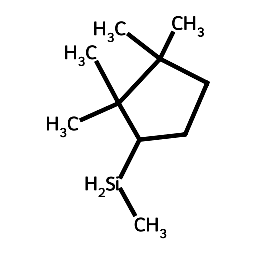 C[SiH2]C1CCC(C)(C)C1(C)C